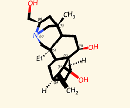 C=C1[C@H]2CC[C@]3(C(C2)[C@@]2(CC)C[N@]4C[C@](C)(C[C@@H]4CO)C2C[C@H]3O)[C@H]1O